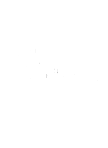 CC(C)(C)OC(=O)n1ccc(OC(C2CC2)C2CC2)n1